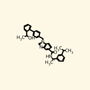 CC(C)c1cccc([C@H](C)NC(=O)c2ccc3c(c2)ncn3Cc2ccc(-c3ccccc3C(C)O)cc2)c1